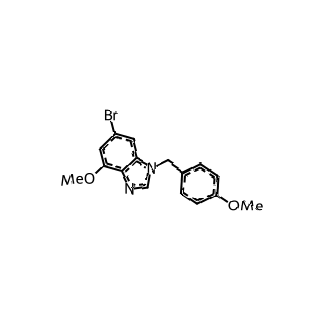 COc1ccc(Cn2cnc3c(OC)cc(Br)cc32)cc1